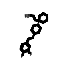 CCCC1([C@H]2CC[C@H](CCc3ccc(F)c(F)c3)CC2)CCCCC1